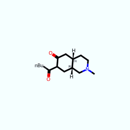 CCCCC(=O)C1C[C@H]2CN(C)CC[C@H]2CC1=O